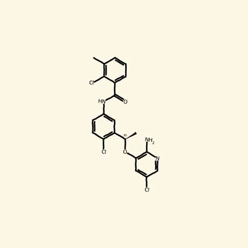 Cc1cccc(C(=O)Nc2ccc(Cl)c([C@@H](C)Oc3cc(Cl)cnc3N)c2)c1Cl